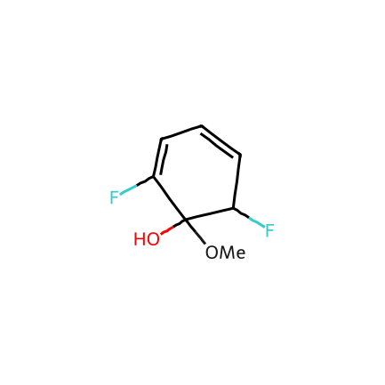 COC1(O)C(F)=CC=CC1F